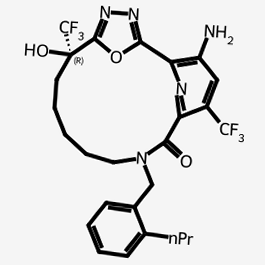 CCCc1ccccc1CN1CCCCC[C@](O)(C(F)(F)F)c2nnc(o2)-c2nc(c(C(F)(F)F)cc2N)C1=O